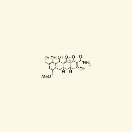 COCc1cc(CC(C)C)c(O)c2c1C[C@H]1C[C@H]3CC(O)=C(C(N)=O)C(=O)[C@@]3(O)C(O)=C1C2=O